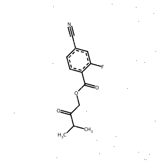 CC(C)C(=O)COC(=O)c1ccc(C#N)cc1F